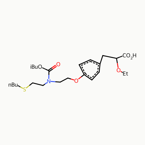 CCCCSCCN(CCOc1ccc(CC(OCC)C(=O)O)cc1)C(=O)OCC(C)C